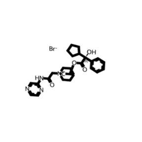 O=C(C[N+]12CCC(CC1)C(OC(=O)[C@](O)(c1ccccc1)C1CCCC1)C2)Nc1cnccn1.[Br-]